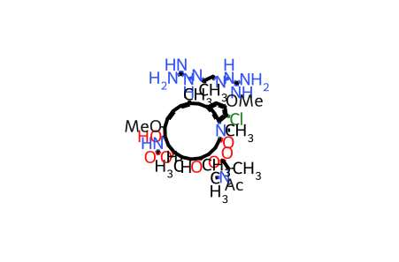 CC(/C=N/NC(=N)N)=N\NC(=N)N.COc1cc2cc(c1Cl)N(C)C(=O)C[C@H](OC(=O)[C@H](C)N(C)C(C)=O)[C@]1(C)O[C@H]1[C@H](C)[C@@H]1C[C@@](O)(NC(=O)O1)[C@H](OC)/C=C\C=C(\C)C2